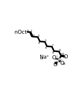 CCCCCCCCC=CCCCCCCCC(=O)S(=O)(=O)[O-].[Na+]